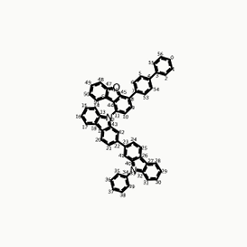 c1ccc(-c2ccc(-c3ccc(-n4c5ccccc5c5ccc(-c6ccc7c8ccccc8n(-c8ccccc8)c7c6)cc54)c4c3oc3ccccc34)cc2)cc1